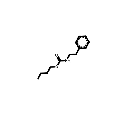 CCCCOC(=O)NCCc1cc[c]cc1